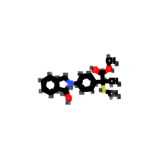 COC(=O)C(C)(SC)c1ccc(N2Cc3ccccc3C2=O)cc1